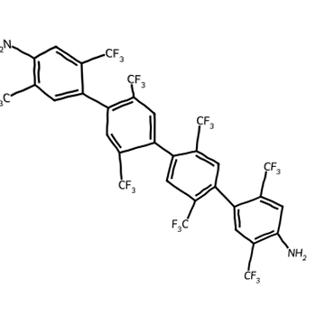 Nc1cc(C(F)(F)F)c(-c2cc(C(F)(F)F)c(-c3cc(C(F)(F)F)c(-c4cc(C(F)(F)F)c(N)cc4C(F)(F)F)cc3C(F)(F)F)cc2C(F)(F)F)cc1C(F)(F)F